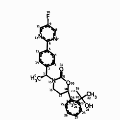 C[C@@H](c1ccc(-c2ncc(F)cn2)cc1)N1CC[C@](CC(C)(C)O)(c2ccccc2)OC1=O